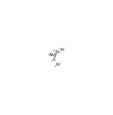 [In].[In].[Mg].[S].[Zn]